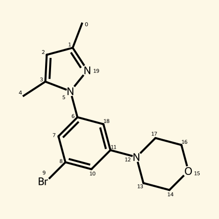 Cc1cc(C)n(-c2cc(Br)cc(N3CCOCC3)c2)n1